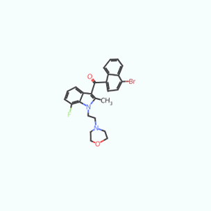 Cc1c(C(=O)c2ccc(Br)c3ccccc23)c2cccc(F)c2n1CCN1CCOCC1